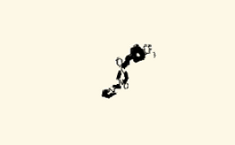 O=C(C=Cc1ccc(C(F)(F)F)cc1)N1CCC(=O)N(CCN2CCCC2)CC1